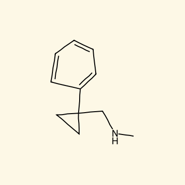 CNCC1(c2ccccc2)CC1